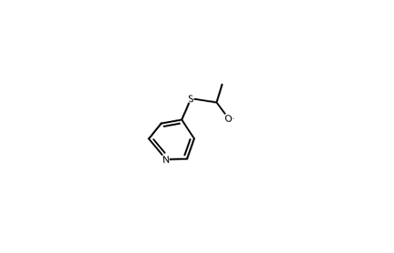 CC([O])Sc1ccncc1